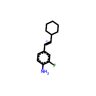 Nc1ccc(/C=C/C2CCCCC2)cc1F